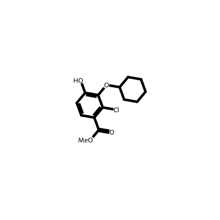 COC(=O)c1ccc(O)c(OC2CCCCC2)c1Cl